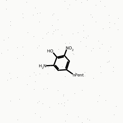 CCCCCc1cc(N)c(O)c([N+](=O)[O-])c1